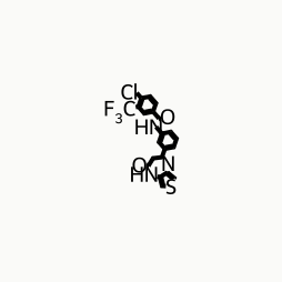 O=C1CC(c2cccc(NC(=O)c3ccc(Cl)c(C(F)(F)F)c3)c2)=Nc2cscc2N1